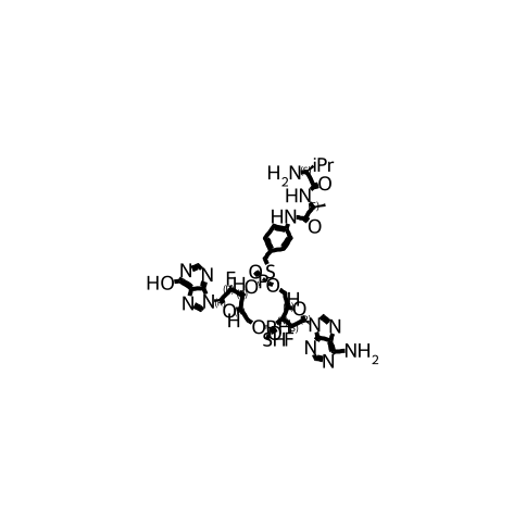 CC(C)[C@H](N)C(=O)N[C@@H](C)C(=O)Nc1ccc(CSP2(=O)OC[C@H]3O[C@@H](n4cnc5c(N)ncnc54)[C@H](F)[C@@H]3P(=O)(S)OC[C@H]3O[C@@H](n4cnc5c(O)ncnc54)[C@H](F)[C@@H]3O2)cc1